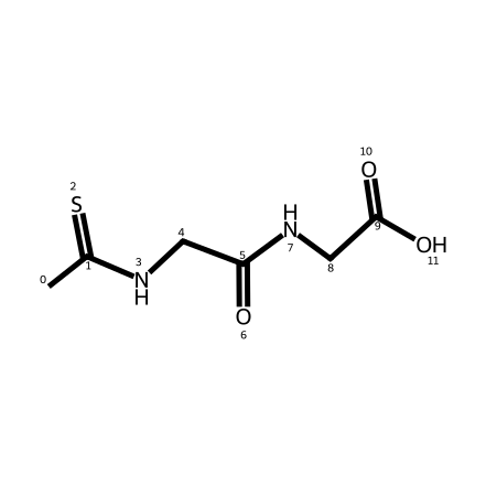 CC(=S)NCC(=O)NCC(=O)O